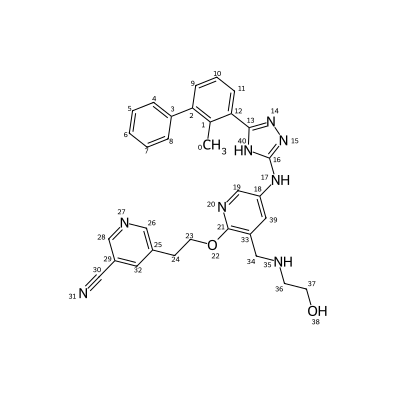 Cc1c(-c2ccccc2)cccc1-c1nnc(Nc2cnc(OCCc3cncc(C#N)c3)c(CNCCO)c2)[nH]1